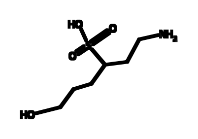 NCCC(CCCO)S(=O)(=O)O